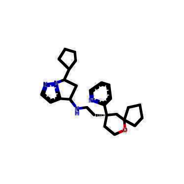 c1ccc([C@]2(CCNC3CC(C4CCCC4)n4nccc43)CCOC3(CCCC3)C2)nc1